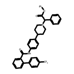 CC(C)OC(=O)C(c1ccccc1)N1CCC(c2ccc(NC(=O)c3ccccc3-c3ccc(C(F)(F)F)cc3)cc2)CC1